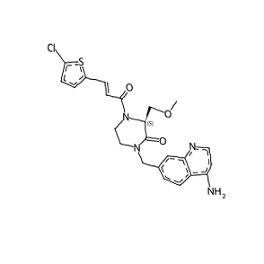 COC[C@H]1C(=O)N(Cc2ccc3c(N)ccnc3c2)CCN1C(=O)C=Cc1ccc(Cl)s1